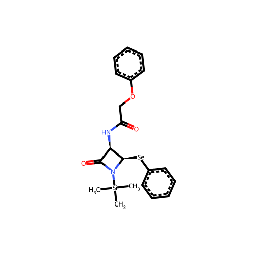 C[Si](C)(C)N1C(=O)[C@@H](NC(=O)COc2ccccc2)[C@H]1[Se]c1ccccc1